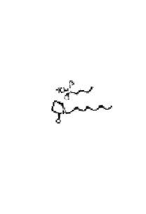 CCCCCCCCN1CCCC1=O.CCCCS(=O)(=O)O